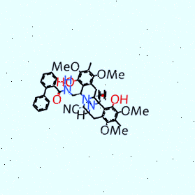 COc1c(C)c(OC)c2c(c1O)[C@H]1[C@@H]3Cc4c(OC)c(C)c(OC)c(O)c4[C@H](CNC(=O)c4ccccc4-c4ccccc4)N3[C@@H](C#N)[C@@H](C2)N1C